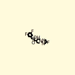 O=C(C1CCN(c2ncc(F)cn2)CC1)N(O)Cc1cc(F)cc(F)c1